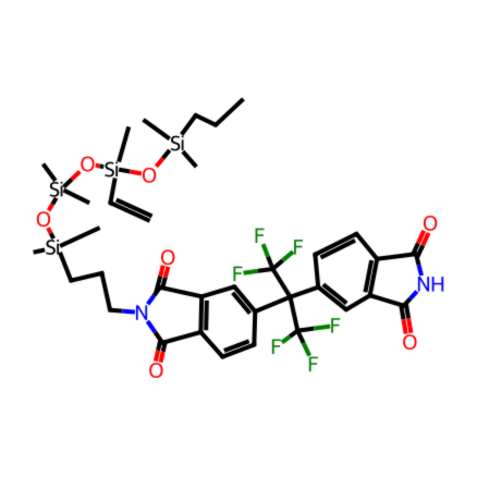 C=C[Si](C)(O[Si](C)(C)CCC)O[Si](C)(C)O[Si](C)(C)CCCN1C(=O)c2ccc(C(c3ccc4c(c3)C(=O)NC4=O)(C(F)(F)F)C(F)(F)F)cc2C1=O